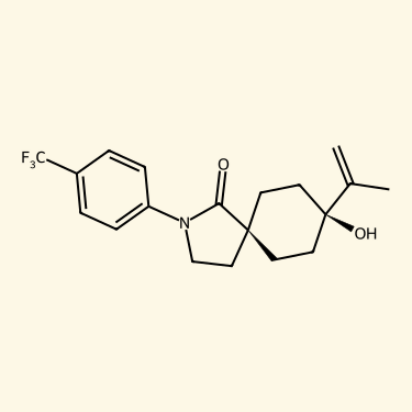 C=C(C)[C@]1(O)CC[C@]2(CCN(c3ccc(C(F)(F)F)cc3)C2=O)CC1